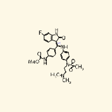 COC(=O)Nc1ccc(/C(Nc2ccc(N(CCN(C)C)S(C)(=O)=O)cc2)=C2/C(=O)Nc3cc(F)ccc32)cc1